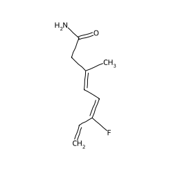 C=C/C(F)=C\C=C(/C)CC(N)=O